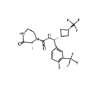 C[C@@H]1C(=O)NCCN1C(=O)NC(c1ccc(F)c(C(F)(F)F)c1)[C@H]1C[C@H](C(F)(F)F)C1